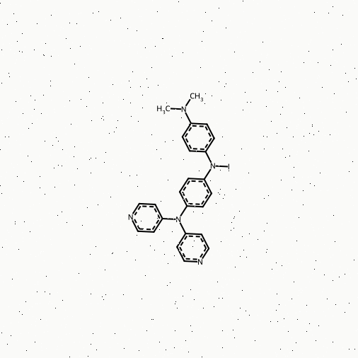 CN(C)c1ccc(N(I)c2ccc(N(c3ccncc3)c3ccncc3)cc2)cc1